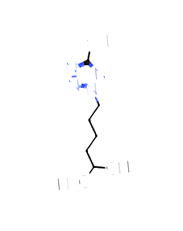 Cc1nnn(CCCCC(C)C)n1